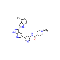 [C-]#[N+]c1cccc2[nH]c(-c3n[nH]c4ncc(-c5cncc(NC(=O)C6CCN(C)CC6)c5)cc34)cc12